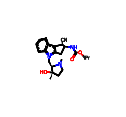 CC(C)OC(=O)NC1Cc2c(c3ccccc3n2C[C@H]2N(C)CC[C@@]2(C)O)[C@@H]1C#N